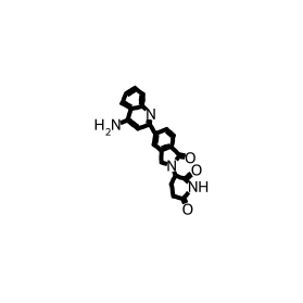 Nc1cc(-c2ccc3c(c2)CN(C2CCC(=O)NC2=O)C3=O)nc2ccccc12